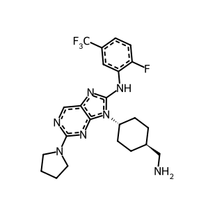 NC[C@H]1CC[C@H](n2c(Nc3cc(C(F)(F)F)ccc3F)nc3cnc(N4CCCC4)nc32)CC1